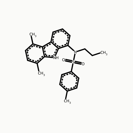 CCCN(c1cccc2c1[nH]c1c(C)ccc(C)c12)S(=O)(=O)c1ccc(C)cc1